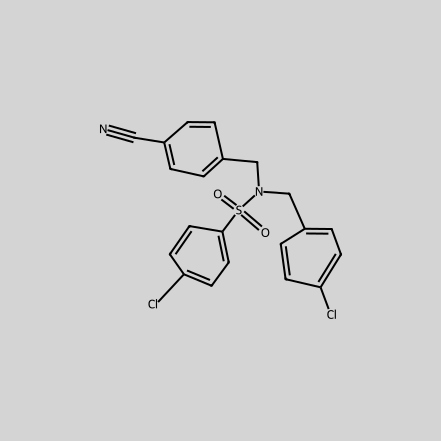 N#Cc1ccc(CN(Cc2ccc(Cl)cc2)S(=O)(=O)c2ccc(Cl)cc2)cc1